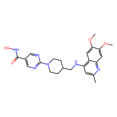 COc1cc2nc(C)cc(NCC3CCN(c4ncc(C(=O)NO)cn4)CC3)c2cc1OC